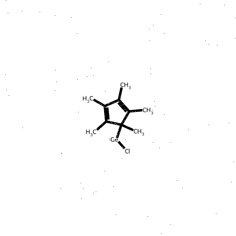 CC1=C(C)[C](C)([Ge][Cl])C(C)=C1C